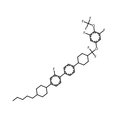 CCCCCC1CCC(c2ccc(-c3ccc(C4CCC(C(F)(F)Oc5cc(F)c(OC(F)(F)F)c(F)c5)CC4)cc3)c(F)c2)CC1